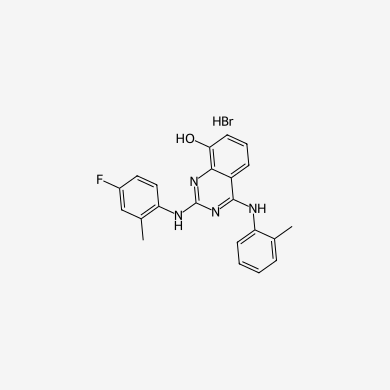 Br.Cc1cc(F)ccc1Nc1nc(Nc2ccccc2C)c2cccc(O)c2n1